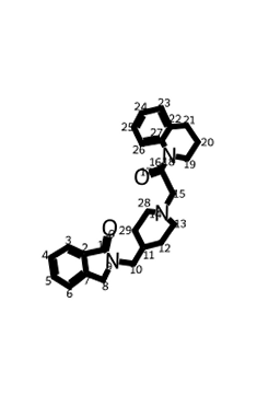 O=C1c2ccccc2CN1CC1CCN(CC(=O)N2CCCc3ccccc32)CC1